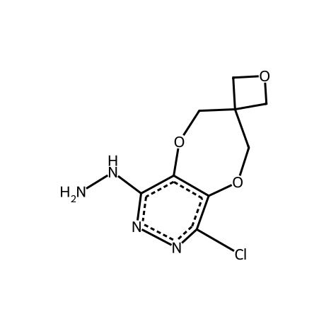 NNc1nnc(Cl)c2c1OCC1(COC1)CO2